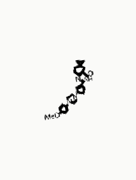 COc1ccc(N2CCN([C@H]3C=C(c4nc5c(c(=O)[nH]4)CC4(CC5)CC4)CC3)CC2)cc1